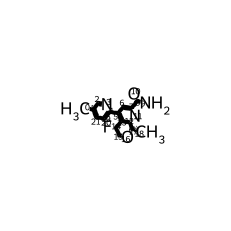 Cc1cnc(-c2cc(C(N)=O)nc3c2CCO[C@@H]3C)c(F)c1